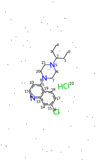 CCC(CC)N1CCN(c2ccnc3cc(Cl)ccc23)CC1.Cl